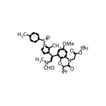 COc1cc(/C(=C/N(C)C=O)c2ccn([S+]([O-])c3ccc(C)cc3)c2C)c2c(c1)N(CC(=O)OC(C)(C)C)C(=O)C(C(C)C)O2